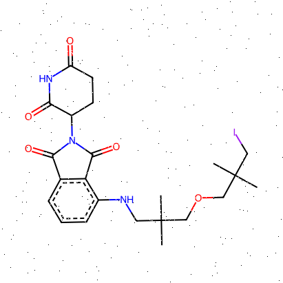 CC(C)(CI)COCC(C)(C)CNc1cccc2c1C(=O)N(C1CCC(=O)NC1=O)C2=O